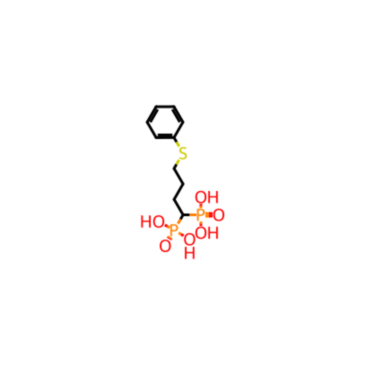 O=P(O)(O)C(CCCSc1ccccc1)P(=O)(O)O